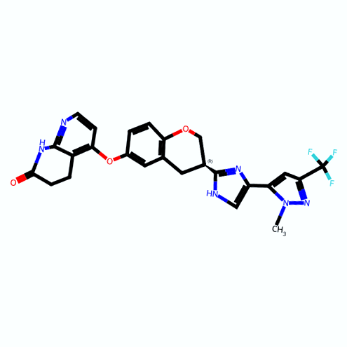 Cn1nc(C(F)(F)F)cc1-c1c[nH]c([C@@H]2COc3ccc(Oc4ccnc5c4CCC(=O)N5)cc3C2)n1